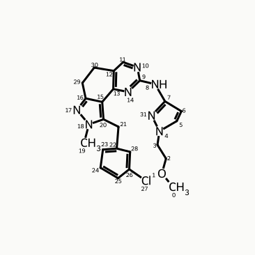 COCCn1ccc(Nc2ncc3c(n2)-c2c(nn(C)c2Cc2cccc(Cl)c2)CC3)n1